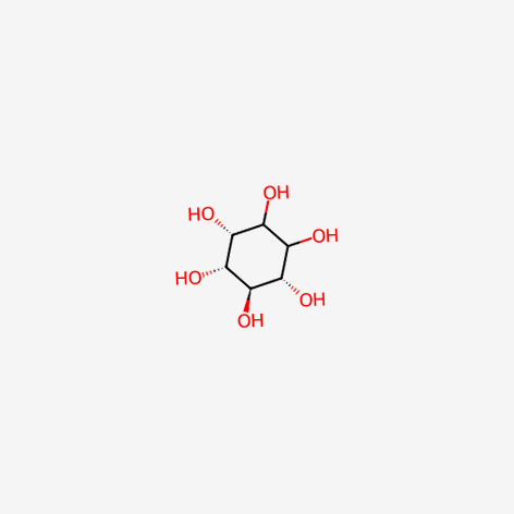 OC1C(O)[C@H](O)[C@@H](O)[C@H](O)[C@@H]1O